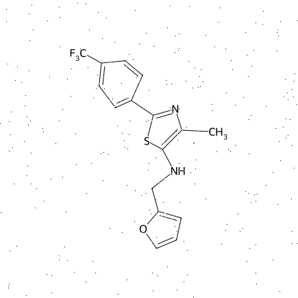 Cc1nc(-c2ccc(C(F)(F)F)cc2)sc1NCc1ccco1